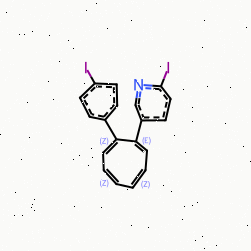 Ic1ccc(C2=C/C=C\C=C/C=C\2c2ccc(I)nc2)cc1